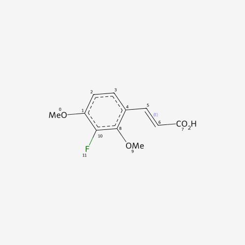 COc1ccc(/C=C/C(=O)O)c(OC)c1F